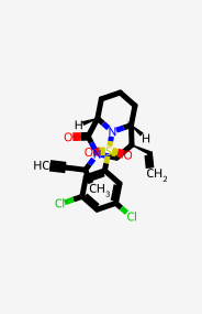 C#CC(C)N1C[C@H](C=C)[C@H]2CCC[C@@H](C1=O)N2S(=O)(=O)c1cc(Cl)cc(Cl)c1